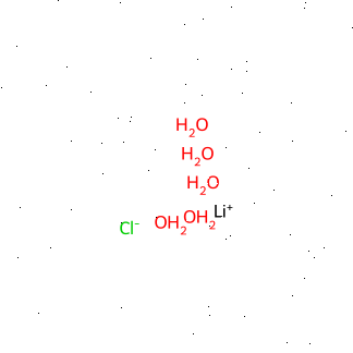 O.O.O.O.O.[Cl-].[Li+]